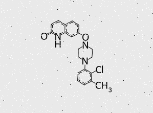 Cc1cccc(N2CCN(Oc3ccc4ccc(=O)[nH]c4c3)CC2)c1Cl